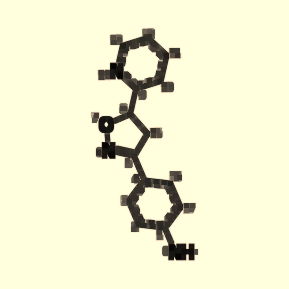 [NH]c1ccc(C2=NOC(c3ccccn3)C2)cc1